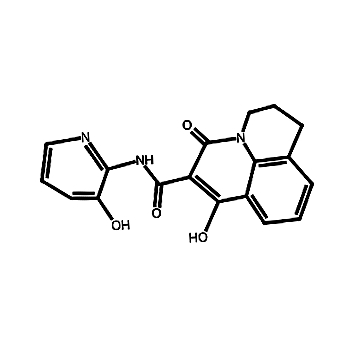 O=C(Nc1ncccc1O)c1c(O)c2cccc3c2n(c1=O)CCC3